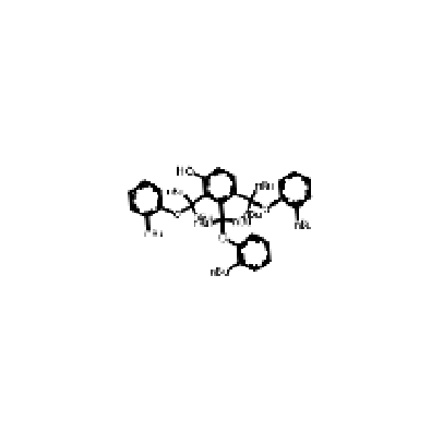 CCCCc1ccccc1OC(CCCC)(CCCC)c1ccc(O)c(C(CCCC)(CCCC)Oc2ccccc2CCCC)c1C(CCCC)(CCCC)Oc1ccccc1CCCC